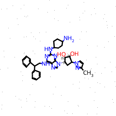 Cc1ccn(C2C[C@H](n3cnc4c(NCC(c5ccccc5)c5ccccc5)nc(NC5CCC(N)CC5)nc43)[C@H](O)[C@@H]2O)n1